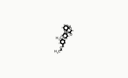 CCOCC1CCC(C)(N2CCC(N3C(=O)CO[C@H]4CCCC[C@@H]43)CC2)CC1